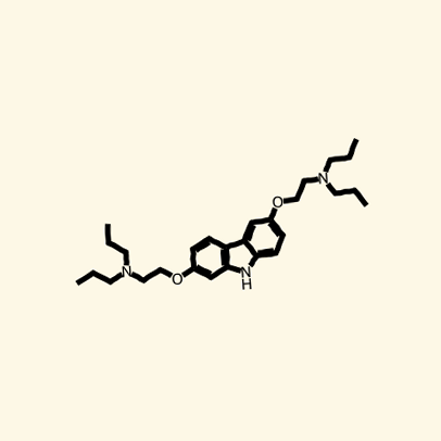 CCCN(CCC)CCOc1ccc2c(c1)[nH]c1ccc(OCCN(CCC)CCC)cc12